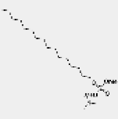 CCCCCCCCCCCCCCCC.CN(C)C.COS(=O)(=O)OC